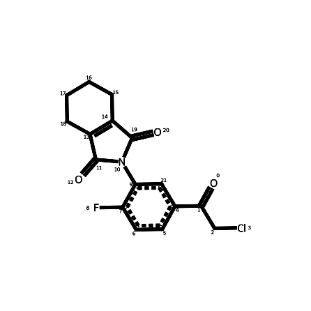 O=C(CCl)c1ccc(F)c(N2C(=O)C3=C(CCCC3)C2=O)c1